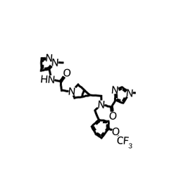 Cn1cnc(C(=O)N(Cc2cccc(OC(F)(F)F)c2)CC2C3CN(CC(=O)Nc4ccnn4C)CC32)c1